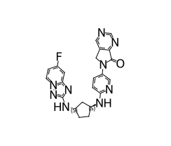 O=C1c2ncncc2CN1c1ccc(N[C@H]2CC[C@H](Nc3nc4cc(F)ccn4n3)C2)nc1